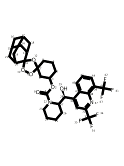 O=C(OC1CCCC2(C1)OOC1(O2)C2CC3CC(C2)CC1C3)N1CCCCC1[C@@H](O)c1cc(C(F)(F)F)nc2c(C(F)(F)F)cccc12